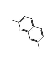 [2H]c1ccc2ccc(O)cc2n1